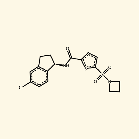 O=C(N[C@@H]1CCc2cc(Cl)ccc21)c1ccc(S(=O)(=O)N2CCC2)s1